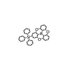 c1ccc([Si](c2ccccc2)(c2ccccc2)c2cc3c4c(c2)Oc2cccc5c2B4c2c(cccc2O3)O5)cc1